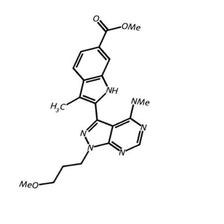 CNc1ncnc2c1c(-c1[nH]c3cc(C(=O)OC)ccc3c1C)nn2CCCOC